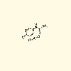 N=C=O.NC(=O)Nn1ccc(=O)nc1